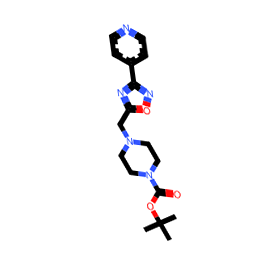 CC(C)(C)OC(=O)N1CCN(Cc2nc(-c3ccncc3)no2)CC1